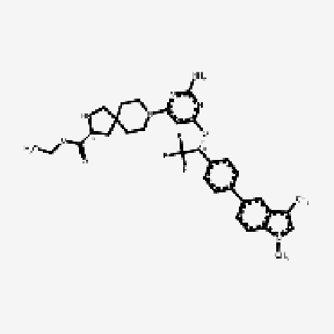 CCOC(=O)[C@@H]1CC2(CCN(c3cc(O[C@H](c4ccc(-c5ccc6c(c5)c(C)cn6C)cc4)C(F)(F)F)nc(N)n3)CC2)CN1